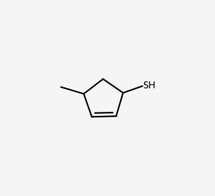 CC1C=CC(S)C1